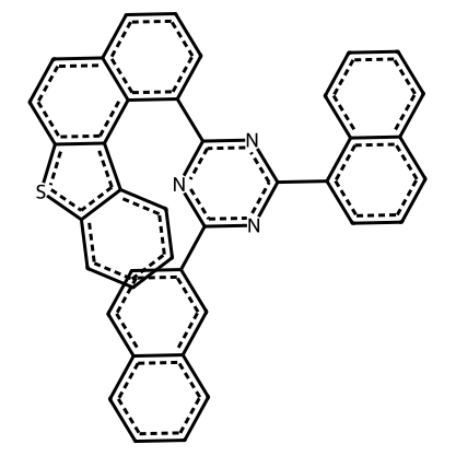 c1ccc2cc(-c3nc(-c4cccc5ccccc45)nc(-c4cccc5ccc6sc7ccccc7c6c45)n3)ccc2c1